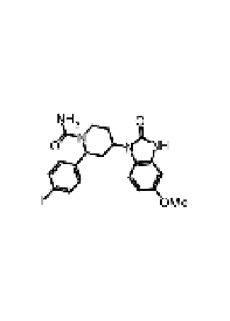 COc1ccc2c(c1)[nH]c(=O)n2C1CCN(C(N)=O)C(c2ccc(I)cc2)C1